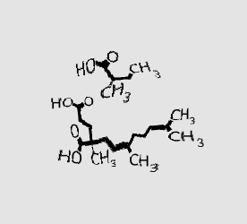 CC(C)=CCC/C(C)=C\C[C@](C)(CCC(=O)O)C(=O)O.CC[C@H](C)C(=O)O